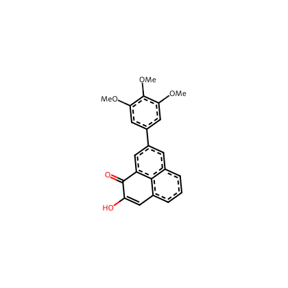 COc1cc(-c2cc3c4c(cccc4c2)C=C(O)C3=O)cc(OC)c1OC